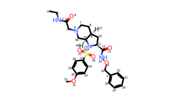 CCNC(=O)CN1CC[C@H]2C[C@@H](C(=O)NOCc3ccccc3)N(S(=O)(=O)c3ccc(OC)cc3)[C@H]2C1